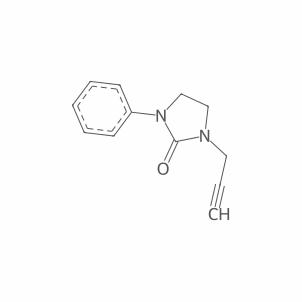 C#CCN1CCN(c2ccccc2)C1=O